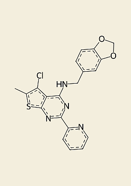 Cc1sc2nc(-c3ccccn3)nc(NCc3ccc4c(c3)OCO4)c2c1Cl